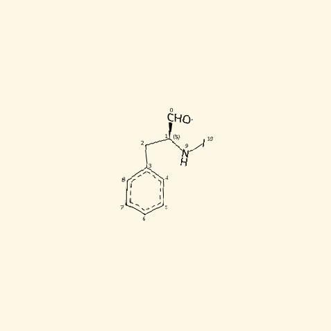 O=[C][C@H](Cc1ccccc1)NI